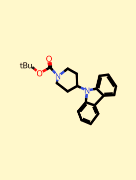 CC(C)(C)OC(=O)N1CCC(n2c3ccccc3c3ccccc32)CC1